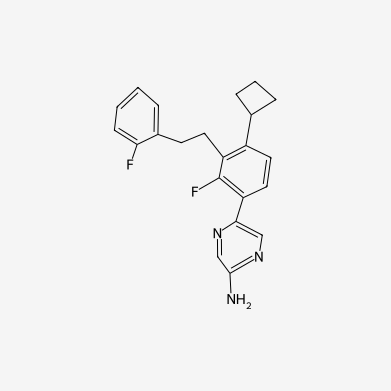 Nc1cnc(-c2ccc(C3CCC3)c(CCc3ccccc3F)c2F)cn1